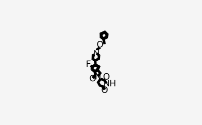 O=C1CCC(N2Cc3cc(C4CCN(CCOCc5ccccc5)CC4)c(F)cc3C2=O)C(=O)N1